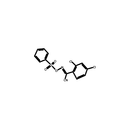 N#C/C(=N\OS(=O)(=O)c1ccccc1)c1ccc(Cl)cc1Cl